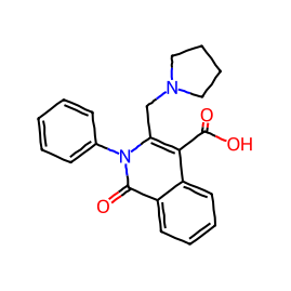 O=C(O)c1c(CN2CCCC2)n(-c2ccccc2)c(=O)c2ccccc12